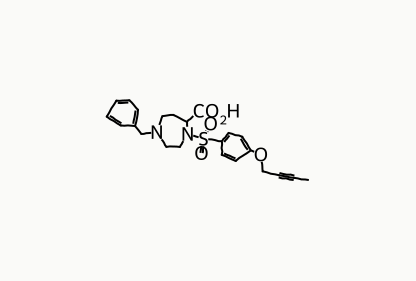 CC#CCOc1ccc(S(=O)(=O)N2CCN(Cc3ccccc3)CCC2C(=O)O)cc1